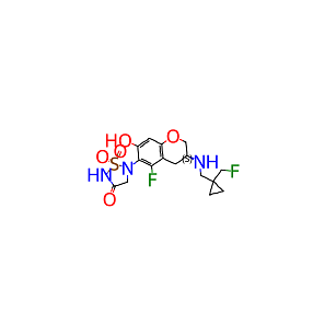 O=C1CN(c2c(O)cc3c(c2F)C[C@H](NCC2(CF)CC2)CO3)S(=O)(=O)N1